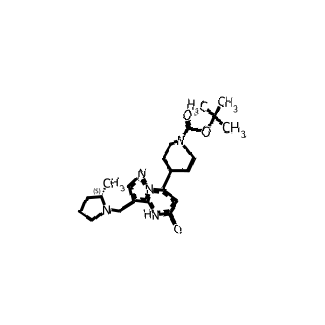 C[C@H]1CCCN1Cc1cnn2c(C3CCN(C(=O)OC(C)(C)C)CC3)cc(=O)[nH]c12